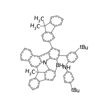 CC(C)(C)c1ccc(Nc2ccc(C(C)(C)C)cc2-c2cc(-c3ccc4c(c3)-c3ccccc3C4(C)C)c3c4c5ccccc5cc5c4n4c3c2Bc2ccc3c(c2-4)C5(C)c2ccccc2-3)cc1